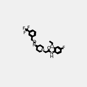 CCOc1cc(F)ccc1NC(=O)CN1CCC(=NOCc2cccc(C(F)(F)F)c2)CC1